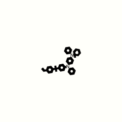 C=Cc1ccc(C(C)(C)c2ccc(N(c3ccccc3)c3ccc(N(c4ccccc4)C4(C)C=CC=CC4)cc3)cc2)cc1